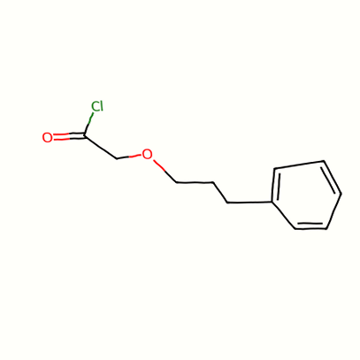 O=C(Cl)COCCCc1ccccc1